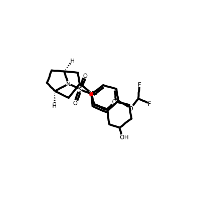 O=S(=O)(c1ccc(OC(F)F)cc1)N1[C@@H]2CC[C@H]1CC(NCC1CC(O)CCO1)C2